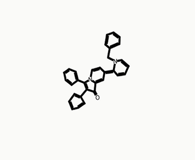 O=C1C2=CC(=C3C=CC=CN3Cc3ccccc3)C=CN2C(c2ccccc2)=C1c1ccccc1